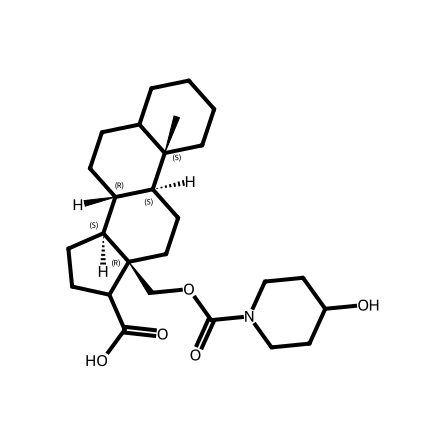 C[C@]12CCCCC1CC[C@H]1[C@@H]3CCC(C(=O)O)[C@@]3(COC(=O)N3CCC(O)CC3)CC[C@@H]12